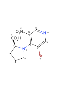 O=C(O)[C@@H]1CCCN1c1c(Br)cncc1[N+](=O)[O-]